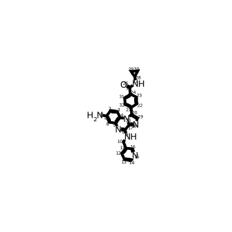 Nc1ccc2c(c1)nc(NCc1cccnc1)c1ncc(-c3ccc(C(=O)NC4CC4)cc3)n12